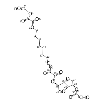 CCCCCCCCOC(=O)C(=O)OCCCCCCCCOC(=O)C(=O)O[C@@H]1COC2C1OC[C@H]2OC(=O)C=O